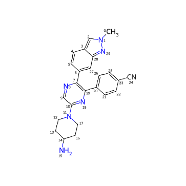 Cn1cc2ccc(-c3ncc(N4CCC(N)CC4)nc3-c3ccc(C#N)cc3)cc2n1